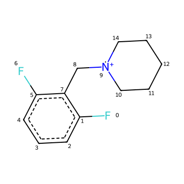 Fc1cccc(F)c1C[N+]1CCCCC1